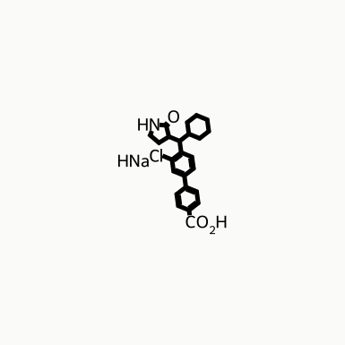 O=C(O)c1ccc(-c2ccc(C(C3CCCCC3)C3CCNC3=O)c(Cl)c2)cc1.[NaH]